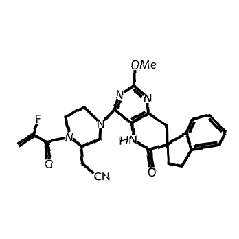 C=C(F)C(=O)N1CCN(c2nc(OC)nc3c2NC(=O)C2(CCc4ccccc42)C3)CC1CC#N